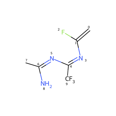 C=C(F)/N=C(\N=C(\C)N)C(F)(F)F